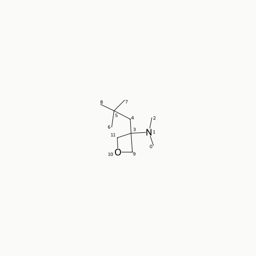 CN(C)C1(CC(C)(C)C)COC1